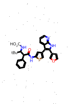 CC(C)(C)C(NC(=O)O)C(C(=O)Nc1cc(-c2c(-c3ccoc3)[nH]c3ncccc23)cs1)c1ccccc1